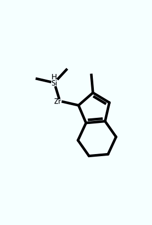 CC1=CC2=C(CCCC2)[CH]1[Zr][SiH](C)C